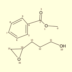 COC(=O)c1ccccc1.OCCCC1CO1